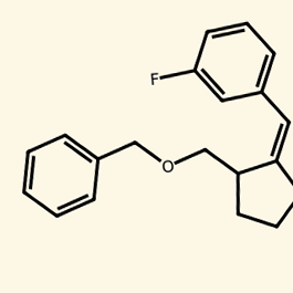 Fc1cccc(/C=C2/CCCC2COCc2ccccc2)c1